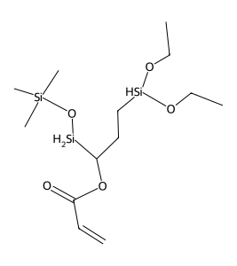 C=CC(=O)OC(CC[SiH](OCC)OCC)[SiH2]O[Si](C)(C)C